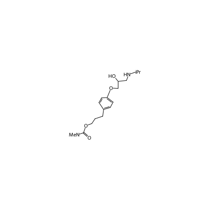 CNC(=O)OCCCc1ccc(OCC(O)CNC(C)C)cc1